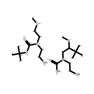 COC(CN(CCO)C(=O)O)C(C)(C)C.COCCN(CCO)C(=O)OC(C)(C)C